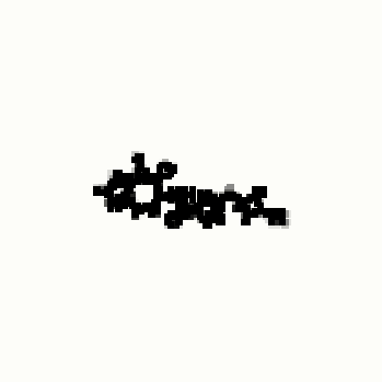 CCC1CC(Cn2cnc(C(=O)N[C@H]3CCn4nccc4N(C)C3=O)n2)C1